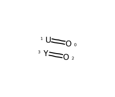 [O]=[U].[O]=[Y]